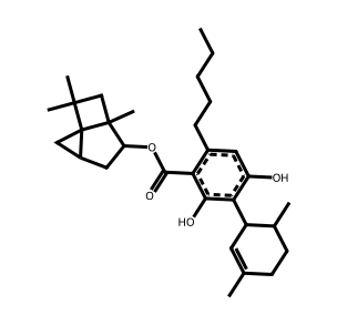 CCCCCc1cc(O)c(C2C=C(C)CCC2C)c(O)c1C(=O)OC1CC2CC23C(C)(C)CC13C